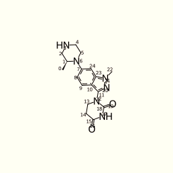 C[C@H]1CNCCN1c1ccc2c(N3CCC(=O)NC3=O)nn(C)c2c1